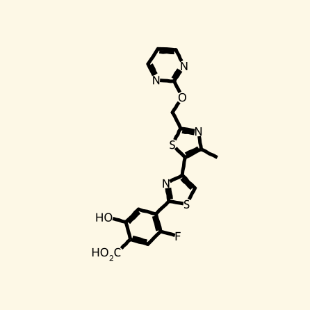 Cc1nc(COc2ncccn2)sc1-c1csc(-c2cc(O)c(C(=O)O)cc2F)n1